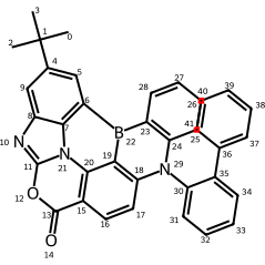 CC(C)(C)c1cc2c3c(c1)nc1oc(=O)c4ccc5c(c4n13)B2C1=C(CCC=C1)N5c1ccccc1-c1ccccc1